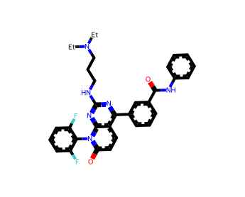 CCN(CC)CCCNc1nc(-c2cccc(C(=O)Nc3ccccc3)c2)c2ccc(=O)n(-c3c(F)cccc3F)c2n1